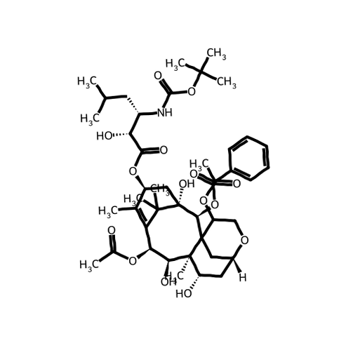 CC(=O)OC1CO[C@@H]2C[C@H](O)[C@@]3(C)[C@@H](O)[C@@H](OC(C)=O)C4=C(C)[C@@H](OC(=O)[C@H](O)[C@H](CC(C)C)NC(=O)OC(C)(C)C)C[C@@](O)([C@@H](OC(=O)c5ccccc5)C13C2)C4(C)C